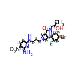 C[C@@H](O)CNC(=O)c1cn(CCCNc2ccc([N+](=O)[O-])c(N)n2)cc1-c1ccc(Br)cc1F